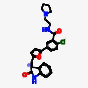 O=C1Nc2ccccc2/C1=C\c1ccc(-c2ccc(Cl)c(C(=O)NCCN3CCCC3)c2)o1